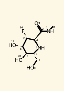 CNC(=O)[C@H]1N[C@H](CO)[C@@H](O)[C@H](O)[C@@H]1F